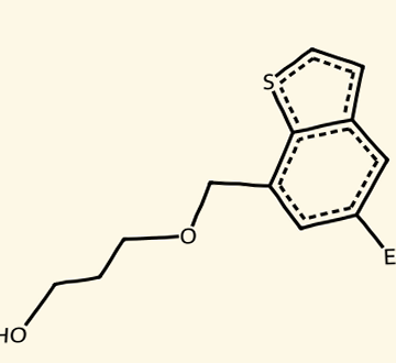 CCc1cc(COCCCO)c2sccc2c1